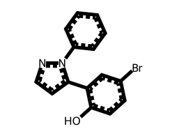 Oc1ccc(Br)cc1-c1ccnn1-c1ccccc1